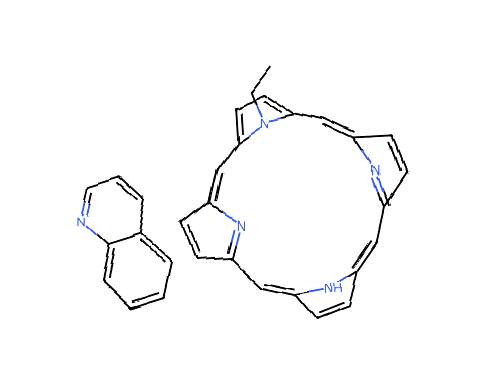 CCn1c2ccc1cc1nc(cc3ccc(cc4nc(c2)C=C4)[nH]3)C=C1.c1ccc2ncccc2c1